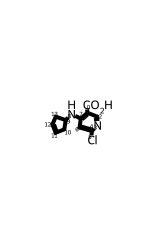 O=C(O)c1cnc(Cl)cc1NC1CC=CC1